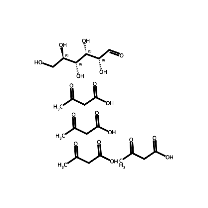 CC(=O)CC(=O)O.CC(=O)CC(=O)O.CC(=O)CC(=O)O.CC(=O)CC(=O)O.O=C[C@H](O)[C@@H](O)[C@H](O)[C@H](O)CO